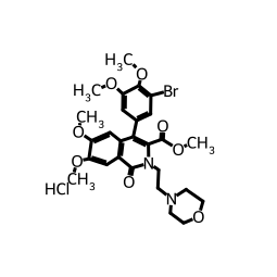 COC(=O)c1c(-c2cc(Br)c(OC)c(OC)c2)c2cc(OC)c(OC)cc2c(=O)n1CCN1CCOCC1.Cl